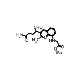 Cc1nc2c(NCC(=O)OC(C)(C)C)cccc2cc1C(C=O)CCC(N)=O